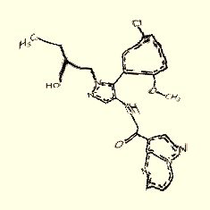 CCC(O)Cn1ncc(NC(=O)c2cnn3cccnc23)c1-c1cc(Cl)ccc1OC